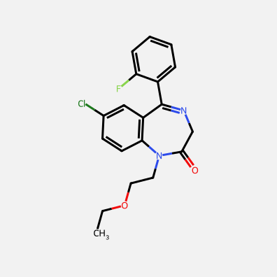 CCOCCN1C(=O)CN=C(c2ccccc2F)c2cc(Cl)ccc21